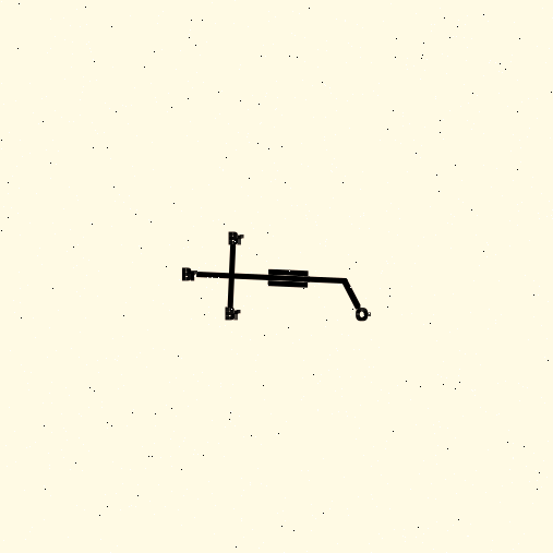 [O]CC#CC(Br)(Br)Br